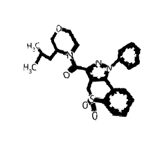 CC(C)CC1COCCN1C(=O)c1nn(-c2ccccc2)c2c1CS(=O)(=O)c1ccccc1-2